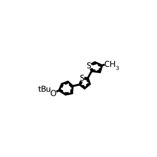 Cc1csc(-c2ccc(-c3ccc(OC(C)(C)C)cc3)s2)c1